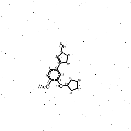 COc1ccc(C2=CC(O)CC2)cc1OC1CCCC1